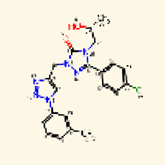 O=c1n(Cc2cn(-c3cccc(C(F)(F)F)c3)nn2)nc(-c2ccc(Cl)cc2)n1C[C@H](O)C(F)(F)F